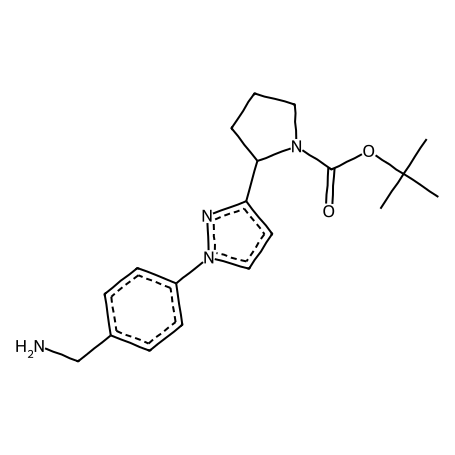 CC(C)(C)OC(=O)N1CCCC1c1ccn(-c2ccc(CN)cc2)n1